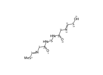 CSC=NCC(=O)NSNC(=O)CN=CSO